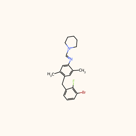 Cc1cc(N=CN2CCCCC2)c(C)cc1Cc1cccc(Br)c1F